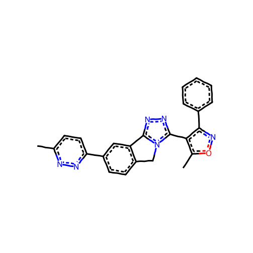 Cc1ccc(-c2ccc3c(c2)-c2nnc(-c4c(-c5ccccc5)noc4C)n2C3)nn1